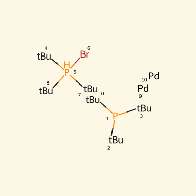 CC(C)(C)P(C(C)(C)C)C(C)(C)C.CC(C)(C)[PH](Br)(C(C)(C)C)C(C)(C)C.[Pd].[Pd]